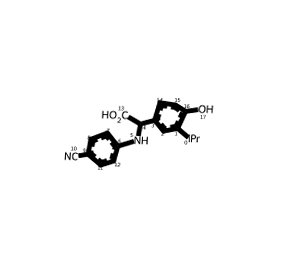 CC(C)c1cc(C(Nc2ccc(C#N)cc2)C(=O)O)ccc1O